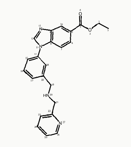 CCOC(=O)c1ccc2c(c1)ncn2-c1cccc(CNCc2ccccn2)c1